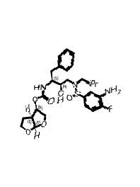 CC(C)CN(C[C@@H](O)[C@H](Cc1ccccc1)NC(=O)O[C@H]1CO[C@H]2OCC[C@H]21)[S+]([O-])c1ccc(F)c(N)c1